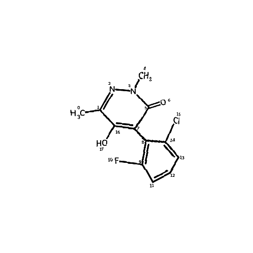 Cc1nn(C)c(=O)c(-c2c(F)cccc2Cl)c1O